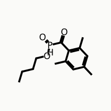 CCCCO[PH](=O)C(=O)c1c(C)cc(C)cc1C